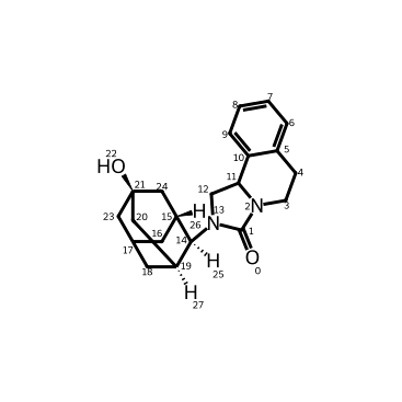 O=C1N2CCc3ccccc3C2CN1[C@@H]1[C@@H]2CC3C[C@H]1C[C@](O)(C3)C2